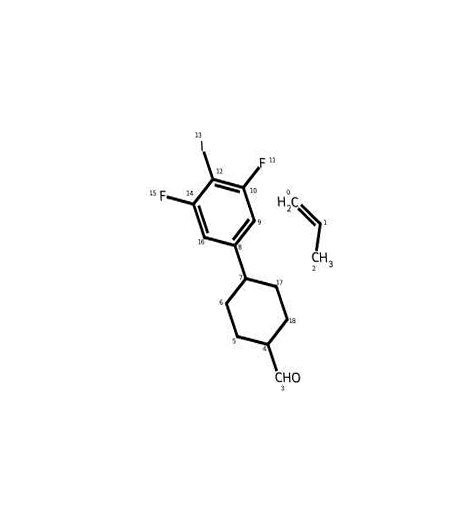 C=CC.O=CC1CCC(c2cc(F)c(I)c(F)c2)CC1